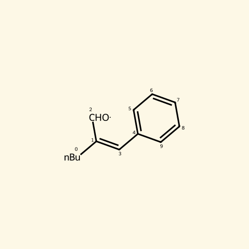 CCCCC([C]=O)=Cc1ccccc1